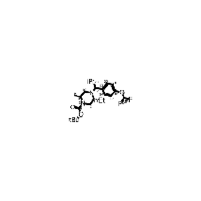 CC[C@@H]1CN(C(=O)OC(C)(C)C)[C@@H](C)CN1C(c1ccc(OC(F)F)cc1)C(C)C